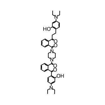 CCN(CC)c1ccc(CCC(=O)c2ccccc2C(=O)N2CCN(C(=O)c3ccccc3C(=O)c3ccc(N(CC)CC)cc3O)CC2)c(O)c1